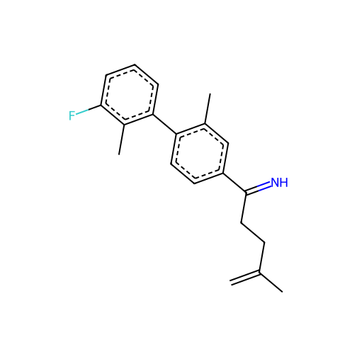 C=C(C)CCC(=N)c1ccc(-c2cccc(F)c2C)c(C)c1